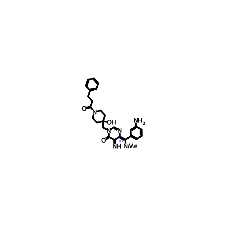 CN/C(=C1/N=CN(CC2(O)CCN(C(=O)CCc3ccccc3)CC2)C(=O)C1=N)c1cccc(N)c1